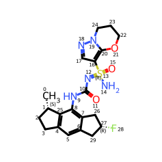 C[C@H]1CCc2cc3c(c(NC(=O)N=[S@@](N)(=O)c4cnn5c4OCCC5)c21)C[C@H](F)C3